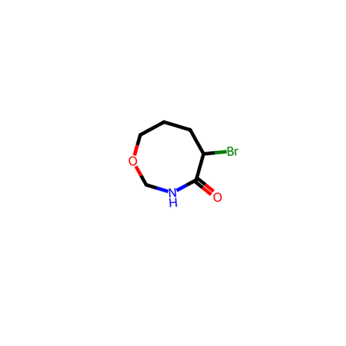 O=C1NCOCCCC1Br